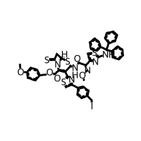 CON=C(C(=O)NC1S[C@H]2CC(=S)N2C(C(=O)OCc2ccc(OC)cc2)=C1c1nc(-c2ccc(CI)cc2)cs1)c1csc(NC(c2ccccc2)(c2ccccc2)c2ccccc2)n1